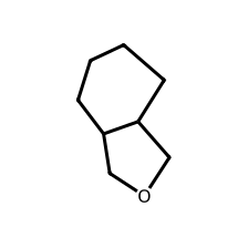 C1CCC2COCC2C1